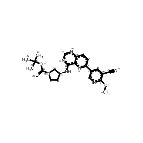 COc1ncc(-c2ccc3ncnc(N[C@H]4CCN(C(=O)OC(C)(C)C)C4)c3n2)cc1C#N